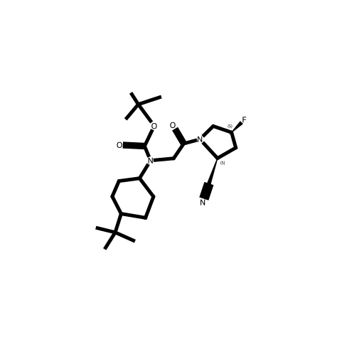 CC(C)(C)OC(=O)N(CC(=O)N1C[C@@H](F)C[C@H]1C#N)C1CCC(C(C)(C)C)CC1